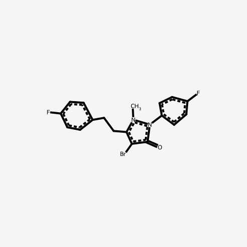 Cn1c(CCc2ccc(F)cc2)c(Br)c(=O)n1-c1ccc(F)cc1